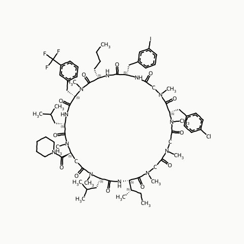 CCCC[C@@H]1NC(=O)[C@H](Cc2cccc(I)c2)NC(=O)CN(C)C(=O)[C@H](Cc2ccc(Cl)cc2)N(C)C(=O)CN(C)C(=O)CN(C)C(=O)[C@H]([C@@H](C)CC)NC(=O)[C@H](CC(C)C)N(C)C(=O)C[C@@H](C(=O)N2CCCCC2)N(C)C(=O)[C@H](CC(C)C)NC(=O)[C@H](Cc2cccc(C(F)(F)F)c2)N(C)C1=O